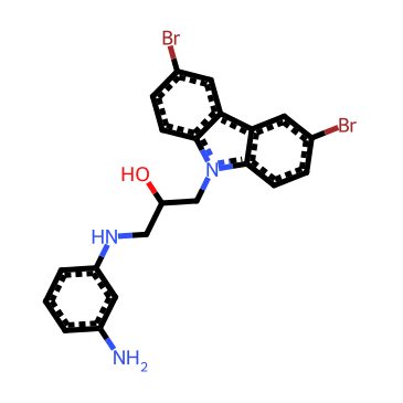 Nc1cccc(NCC(O)Cn2c3ccc(Br)cc3c3cc(Br)ccc32)c1